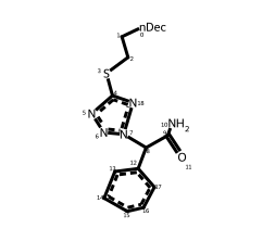 CCCCCCCCCCCCSc1nnn(C(C(N)=O)c2ccccc2)n1